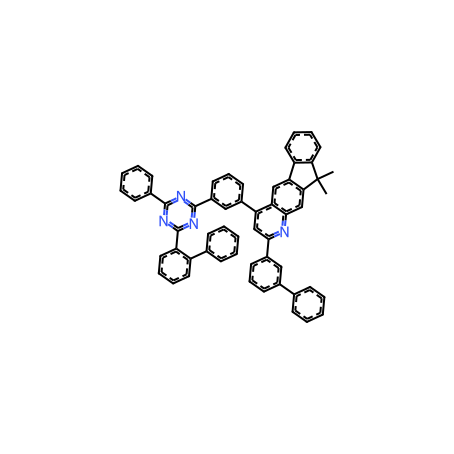 CC1(C)c2ccccc2-c2cc3c(-c4cccc(-c5nc(-c6ccccc6)nc(-c6ccccc6-c6ccccc6)n5)c4)cc(-c4cccc(-c5ccccc5)c4)nc3cc21